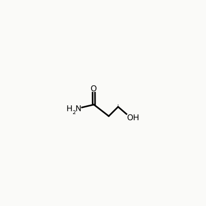 NC(=O)C[CH]O